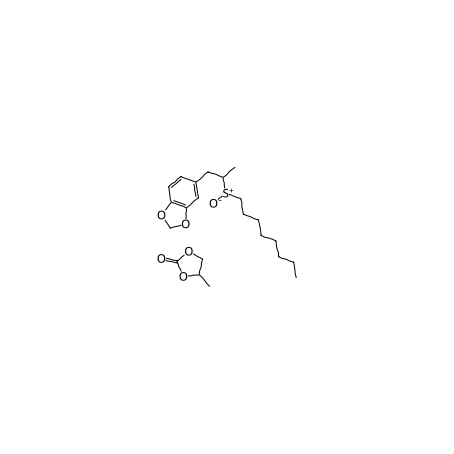 CC1COC(=O)O1.CCCCCCCC[S+]([O-])C(C)Cc1ccc2c(c1)OCO2